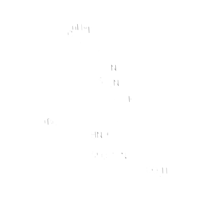 CCCCCCCOc1ccc(-c2nnc(-c3ccc(C[C@@H](NC(=O)c4ccc(C(C)(C)C)cc4)C(=O)N4CC(C(=O)O)C4)cc3F)s2)cc1